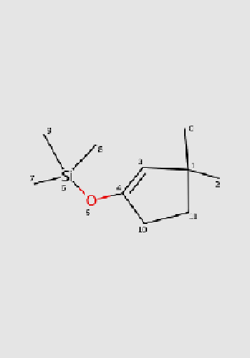 CC1(C)C=C(O[Si](C)(C)C)CC1